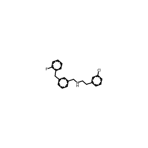 Fc1ccccc1Cc1cccc(CNCCc2cccc(Cl)c2)c1